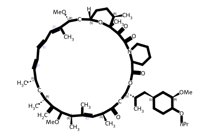 C=C1C(OC)[C@H](C)/C(C)=C/[C@H](C)C(=O)C[C@@H](C(C)C[C@@H]2CCC(OCCC)[C@H](OC)C2)OC(=O)C2CCCCN2C(=O)C(=O)C2(C)O[C@@H](CC[C@H]2C)C[C@@H](OC)/C(C)=C/C=C/C=C/[C@@H](C)C[C@H]1C